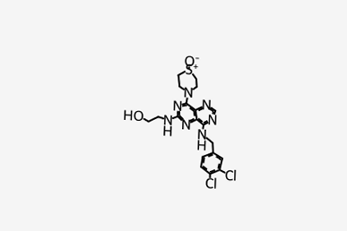 [O-][S+]1CCN(c2nc(NCCO)nc3c(NCc4ccc(Cl)c(Cl)c4)ncnc23)CC1